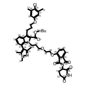 CCCCOC(=O)c1c(CCCOc2cc(C)c(Cl)c(C)c2)c2cccc(-c3c(C)nn(C)c3C)c2n1CCCOCCOc1cccc2c1C(=O)N(C1CCC(=O)NC1=O)C2=O